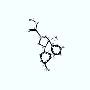 CC(C)(C)OC(=O)N1C[C@H](c2ccc(Br)cc2)[C@](C)(c2ccccc2)C1